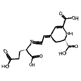 O=C(O)CC[C@H](/N=C/C=C1/C=C(C(=O)O)N[C@H](C(=O)O)C1)C(=O)O